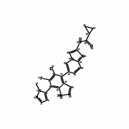 Cn1nccc1-c1c(F)c(Cl)c(-c2ccc3nc(NC(=O)C4CC4)cn3c2)c2cn[nH]c12